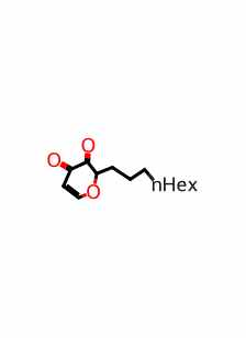 CCCCCCCCCC1OC=CC(=O)C1=O